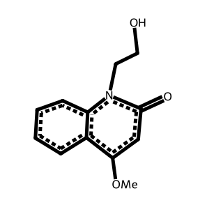 COc1cc(=O)n(CCO)c2ccccc12